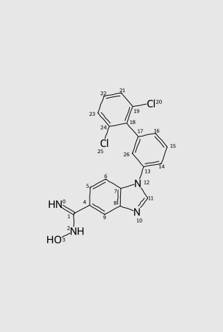 N=C(NO)c1ccc2c(c1)ncn2-c1cccc(-c2c(Cl)cccc2Cl)c1